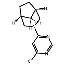 N[C@@H]1[C@@H]2CC[C@H]1CN(c1cc(Cl)ncn1)C2